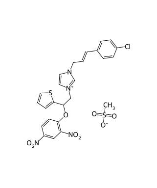 CS(=O)(=O)[O-].O=[N+]([O-])c1ccc(OC(C[n+]2ccn(C/C=C/c3ccc(Cl)cc3)c2)c2cccs2)c([N+](=O)[O-])c1